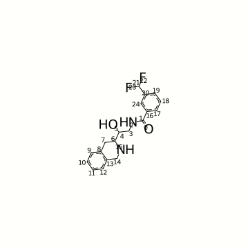 O=C(NCC(O)C1Cc2ccccc2CN1)c1cccc(C(F)F)c1